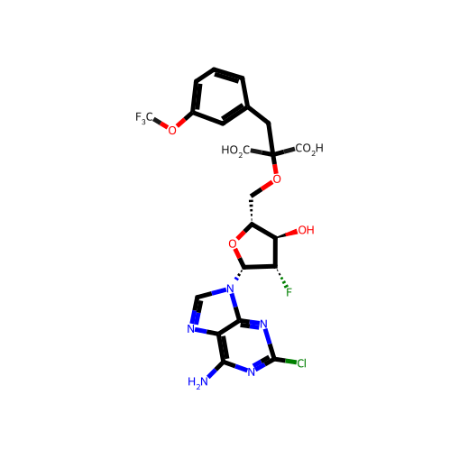 Nc1nc(Cl)nc2c1ncn2[C@@H]1O[C@H](COC(Cc2cccc(OC(F)(F)F)c2)(C(=O)O)C(=O)O)[C@@H](O)[C@@H]1F